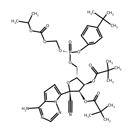 CC(C)OC(=O)OCO[P@@](=O)(OC[C@H]1O[C@@](C#N)(c2ccc3c(N)ncnn23)[C@H](OC(=O)C(C)(C)C)[C@@H]1OC(=O)C(C)(C)C)Oc1ccc(C(C)(C)C)cc1